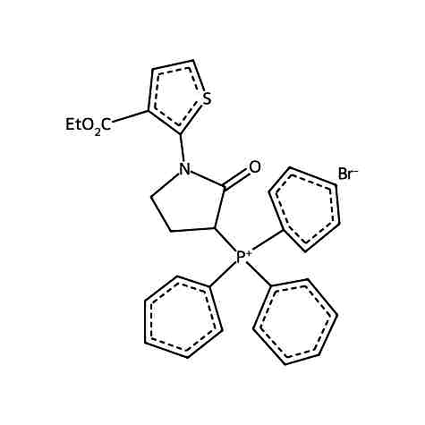 CCOC(=O)c1ccsc1N1CCC([P+](c2ccccc2)(c2ccccc2)c2ccccc2)C1=O.[Br-]